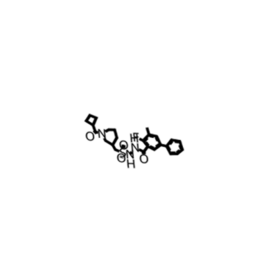 Cc1cc(-c2ccccc2)cc(C(=O)NNS(=O)(=O)CC2CCCN(C(=O)C3CCC3)C2)c1F